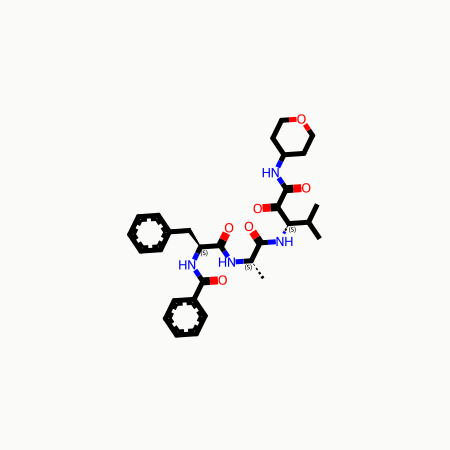 CC(C)[C@H](NC(=O)[C@H](C)NC(=O)[C@H](Cc1ccccc1)NC(=O)c1ccccc1)C(=O)C(=O)NC1CCOCC1